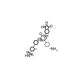 CNS(=O)(=O)c1ccc(-c2ccc(C[C@H](NC(=O)[C@H]3CC[C@H](CN)CC3)C(=O)Nc3ccc4c(=O)[nH][nH]c4c3)cc2)c(C)c1